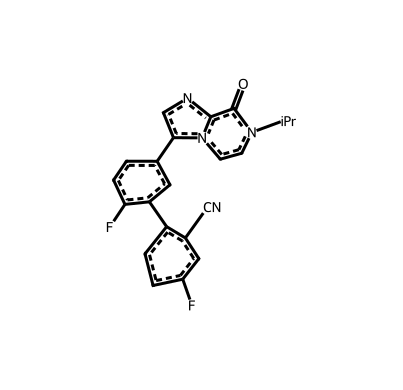 CC(C)n1ccn2c(-c3ccc(F)c(-c4ccc(F)cc4C#N)c3)cnc2c1=O